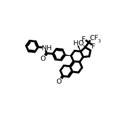 C[C@]12C[C@H](c3ccc(C(=O)Nc4ccccc4)cc3)C3=C4CCC(=O)C=C4CCC3C1CC[C@]2(O)C(F)(F)C(F)(F)F